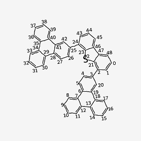 c1cc(-c2ccc3c4ccccc4c4ccccc4c3c2)c2sc3c(-c4ccc5c6ccccc6c6ccccc6c5c4)cccc3c2c1